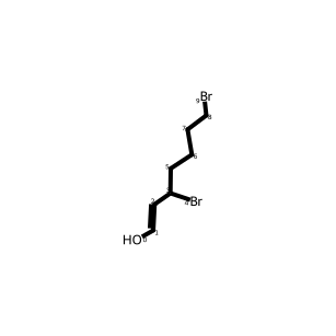 OC=CC(Br)CCCCBr